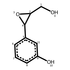 OCC1OC1c1cccc(O)c1